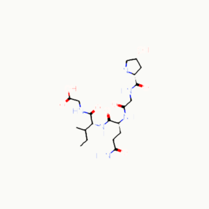 CCC(C)[C@H](NC(=O)[C@H](CCC(N)=O)NC(=O)CNC(=O)[C@@H]1C[C@@H](O)CN1)C(=O)NCC(=O)O